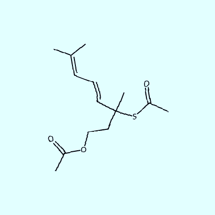 CC(=O)OCCC(C)(C=CC=C(C)C)SC(C)=O